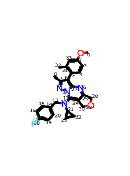 COc1ccc(-c2c(C)nn3c(N(Cc4ccc(F)cc4)C4CC4)c4c(nc23)COC4)c(C)c1